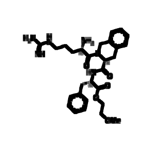 COCCOC(=O)[C@H](Cc1ccccc1)NC(=O)[C@@H]1Cc2ccccc2CN1C(=O)[C@@H](N)CCCNC(=N)N